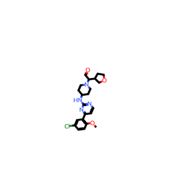 COc1ccc(Cl)cc1-c1ccnc(NC2CCN(C(C=O)C3CCOC3)CC2)n1